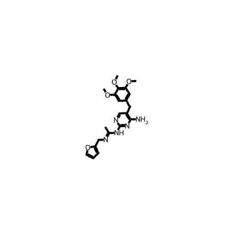 COc1cc(Cc2cnc(N/C(C)=N/Cc3ccco3)nc2N)cc(OC)c1OC